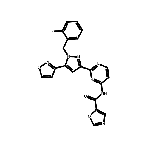 O=C(Nc1ccnc(-c2cc(-c3ccon3)n(Cc3ccccc3F)n2)n1)c1cnco1